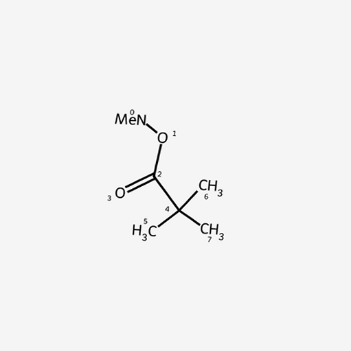 CNOC(=O)C(C)(C)C